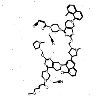 COC/C=C/C(=O)N1CCN(c2nc(OC[C@@H]3CCCN3C)nc3c2CCN(c2cc(C4C[C@@H](COc5nc6c(c(N7CCN(C(=O)/C=C\C#N)[C@@H](CC#N)C7)n5)CCN(c5cccc7cccc(C)c57)C6)N(C)C4)cc4cccc(Cl)c24)C3)C[C@@H]1CC#N